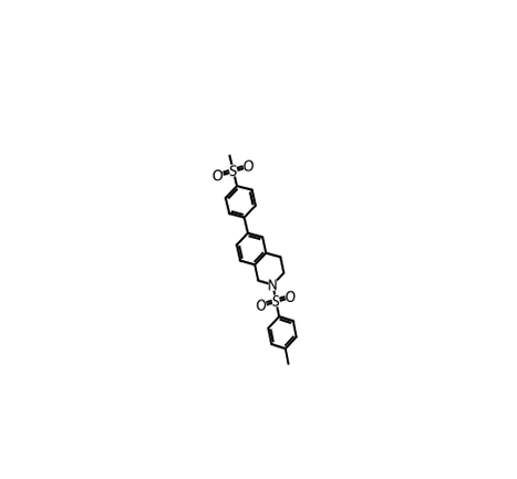 Cc1ccc(S(=O)(=O)N2CCc3cc(-c4ccc(S(C)(=O)=O)cc4)ccc3C2)cc1